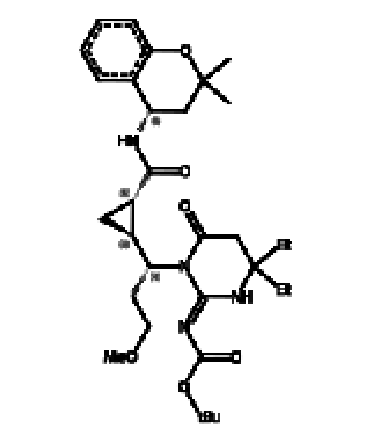 CCC1(CC)CC(=O)N([C@H](CCOC)[C@H]2C[C@@H]2C(=O)N[C@H]2CC(C)(C)Oc3ccccc32)C(=NC(=O)OC(C)(C)C)N1